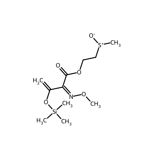 C=C(O[Si](C)(C)C)C(=NOC)C(=O)OCC[S+](C)[O-]